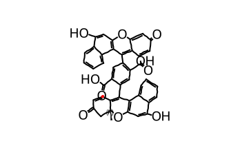 C[C@@]12CC(=O)C=CC1=C(c1cc(C(=O)O)c(-c3c4ccc(=O)cc-4oc4cc(O)c5ccccc5c34)cc1C(=O)O)c1c(cc(O)c3ccccc13)O2